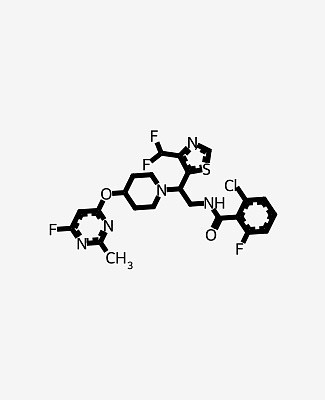 Cc1nc(F)cc(OC2CCN(C(CNC(=O)c3c(F)cccc3Cl)c3scnc3C(F)F)CC2)n1